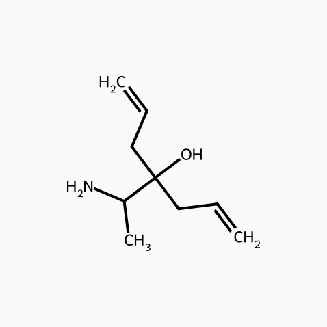 C=CCC(O)(CC=C)C(C)N